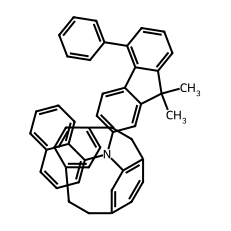 CC1(C)c2cc(N(c3cc4ccc3CCc3ccc(cc3)CC4)c3cccc4ccccc34)ccc2-c2c(-c3ccccc3)cccc21